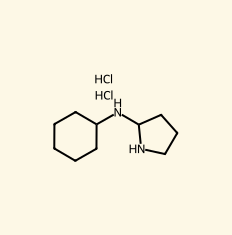 C1CCC(NC2CCCN2)CC1.Cl.Cl